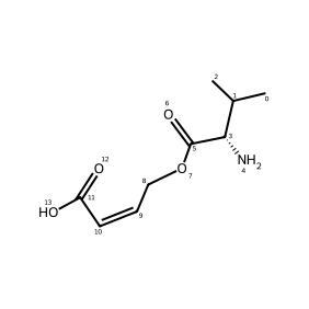 CC(C)[C@H](N)C(=O)OC/C=C\C(=O)O